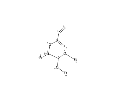 C=CC(=O)O[SiH](CCC)C(OCC)OCC